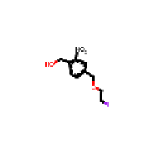 O=[N+]([O-])c1cc(COCCI)ccc1CO